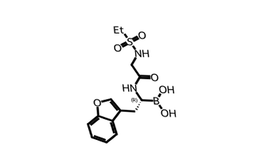 CCS(=O)(=O)NCC(=O)N[C@@H](Cc1coc2ccccc12)B(O)O